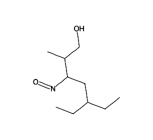 CCC(CC)CC(N=O)C(C)CO